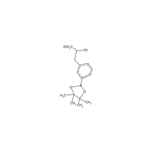 CCOC(=O)C(CC)Cc1cccc(B2OC(C)(C)C(C)(C)O2)c1